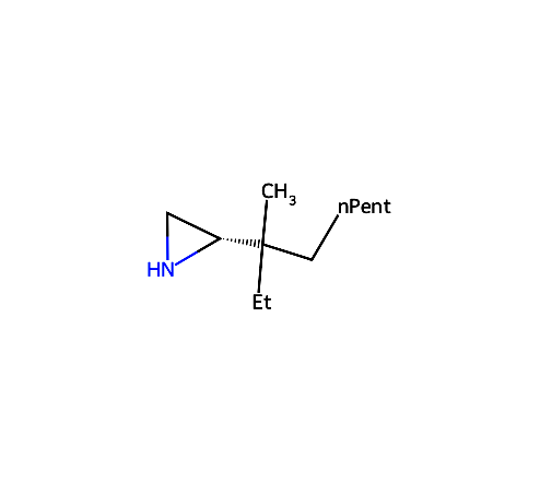 CCCCCCC(C)(CC)[C@H]1CN1